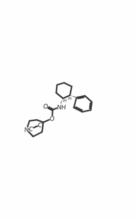 O=C(N[C@@H]1CCCC[C@@H]1c1ccccc1)OC12CCN(CC1)CC2